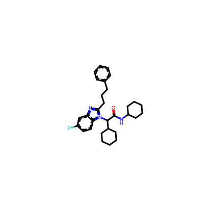 O=C(NC1CCCCC1)C(C1CCCCC1)n1c(CCCc2ccccc2)nc2cc(F)ccc21